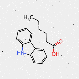 CCCCCC(=O)O.c1ccc2c(c1)[nH]c1ccccc12